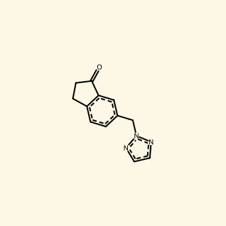 O=C1CCc2ccc(Cn3nccn3)cc21